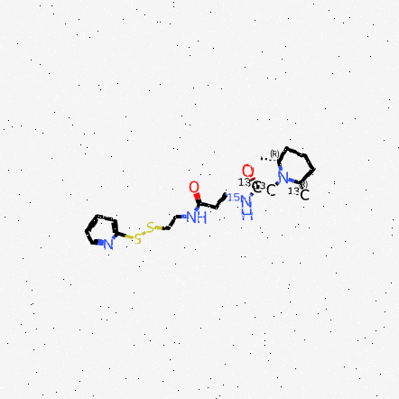 C[C@@H]1CCC[C@H]([13CH3])N1[13CH2][13C](=O)[15NH]CCC(=O)NCCSSc1ccccn1